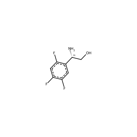 N[C@H](CO)c1cc(F)c(F)cc1F